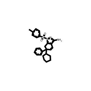 Cc1ccc(S(=O)(=O)n2nc(N)c3c2CC(c2ccccc2)(C2CCCCC2)C=C3)cc1